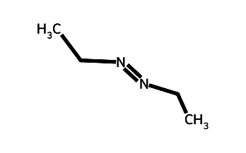 CC/N=N/CC